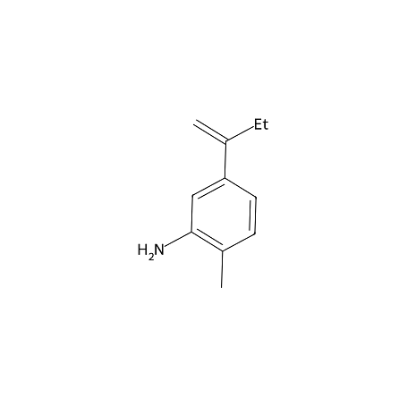 C=C(CC)c1ccc(C)c(N)c1